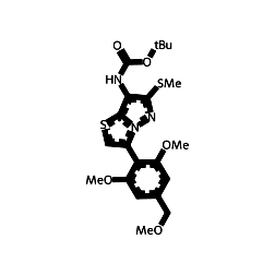 COCc1cc(OC)c(-c2csc3c(NC(=O)OC(C)(C)C)c(SC)nn23)c(OC)c1